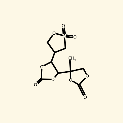 CC1(C2OC(=O)OC2C2COS(=O)(=O)C2)COC(=O)O1